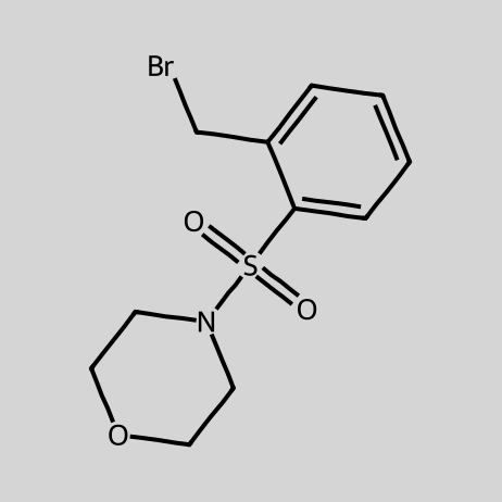 O=S(=O)(c1ccccc1CBr)N1CCOCC1